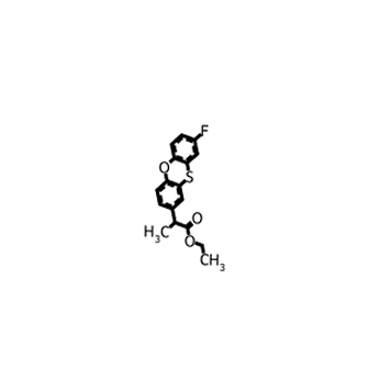 CCOC(=O)C(C)c1ccc2c(c1)Sc1cc(F)ccc1O2